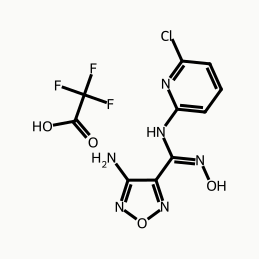 Nc1nonc1/C(=N\O)Nc1cccc(Cl)n1.O=C(O)C(F)(F)F